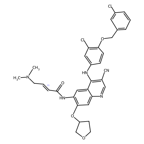 CN(C)C/C=C/C(=O)Nc1cc2c(Nc3ccc(OCc4cccc(Cl)c4)c(Cl)c3)c(C#N)cnc2cc1OC1CCOC1